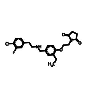 CCc1cc(CNCCc2ccc(Cl)c(F)c2)ccc1OCCN1C(=O)CCC1=O